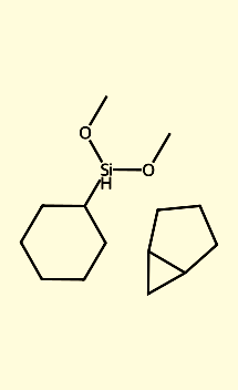 C1CC2CC2C1.CO[SiH](OC)C1CCCCC1